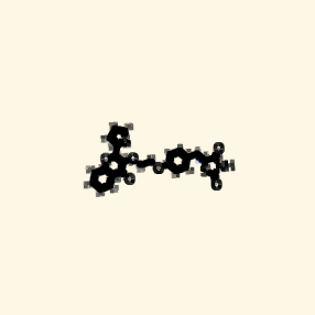 O=C1NC(=O)/C(=C/c2ccc(OCCOc3c(-c4cccs4)oc4ccccc4c3=O)cc2)S1